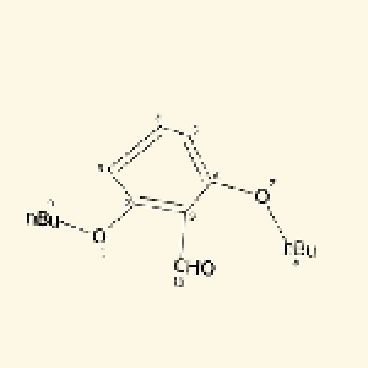 CCCCOc1cccc(OCCCC)c1C=O